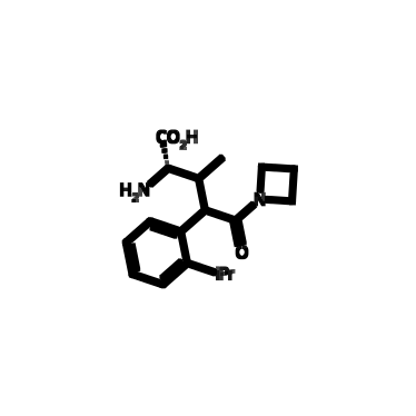 CC(C)c1ccccc1C(C(=O)N1CCC1)C(C)[C@H](N)C(=O)O